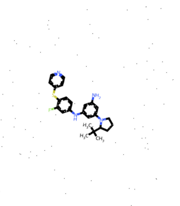 CC(C)(C)C1CCCN1c1cc(N)cc(Nc2ccc(Sc3ccncc3)c(F)c2)c1